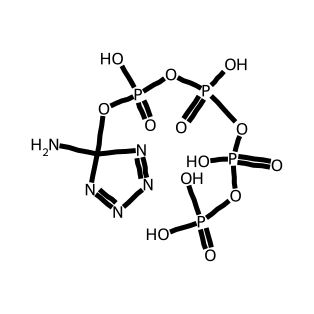 NC1(OP(=O)(O)OP(=O)(O)OP(=O)(O)OP(=O)(O)O)N=NN=N1